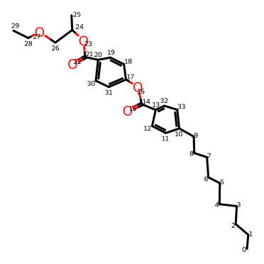 CCCCCCCCCCc1ccc(C(=O)Oc2ccc(C(=O)OC(C)COCC)cc2)cc1